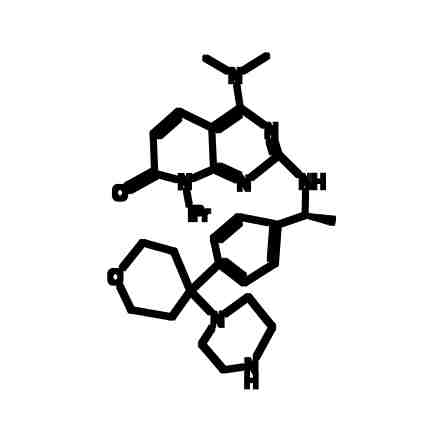 CC(C)n1c(=O)ccc2c(N(C)C)nc(N[C@@H](C)c3ccc(C4(N5CCNCC5)CCOCC4)cc3)nc21